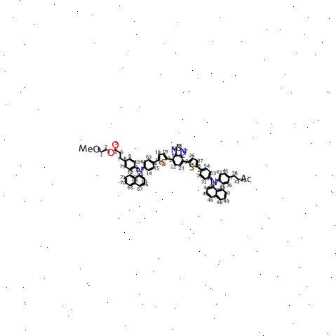 COCCOC(=O)CCc1ccc(N(c2ccc(-c3ccc(-c4ccc(-c5ccc(-c6ccc(N(c7ccc(CCC(C)=O)cc7)c7cccc8ccccc78)cc6)s5)c5nsnc45)s3)cc2)c2cccc3ccccc23)cc1